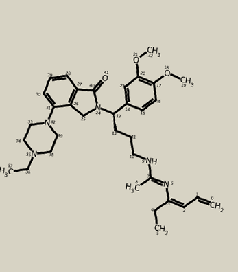 C=C/C=C(CC)\N=C(/C)NCCC[C@H](c1ccc(OC)c(OC)c1)N1Cc2c(cccc2N2CCN(CC)CC2)C1=O